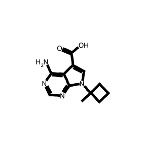 CC1(n2cc(C(=O)O)c3c(N)ncnc32)CCC1